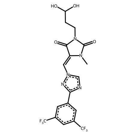 CN1C(=O)N(CCC(O)O)C(=O)/C1=C/n1cnc(-c2cc(C(F)(F)F)cc(C(F)(F)F)c2)n1